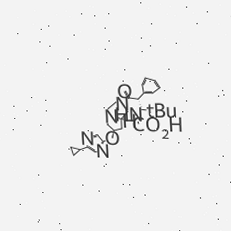 CC(C)(C)C(NC(=O)O)[C@H](C(=O)N1CCN2C[C@H](Oc3cnc(C4CC4)cn3)C[C@H]2C1)c1ccccc1